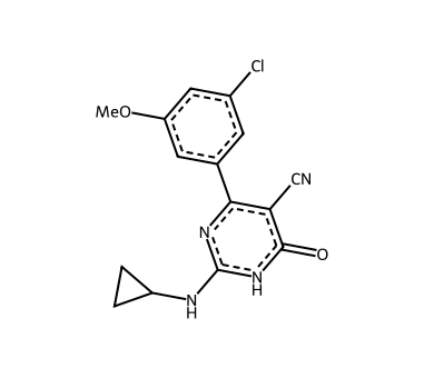 COc1cc(Cl)cc(-c2nc(NC3CC3)[nH]c(=O)c2C#N)c1